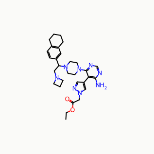 CCOC(=O)Cn1cc(-c2c(N)ncnc2N2CCN(C(CN3CCC3)c3ccc4c(c3)CCCC4)CC2)cn1